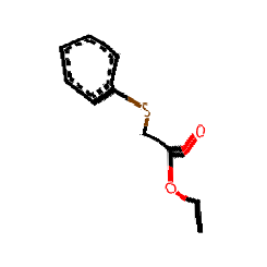 CCOC(=O)[CH]Sc1ccccc1